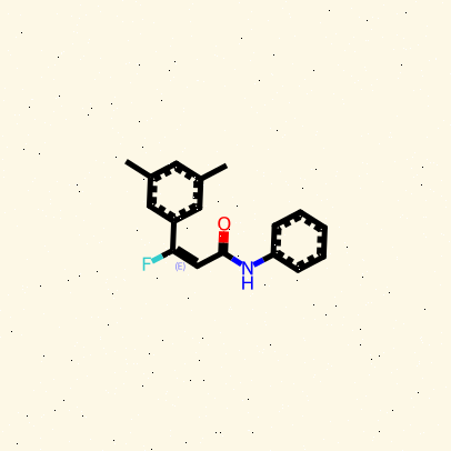 Cc1cc(C)cc(/C(F)=C\C(=O)Nc2ccccc2)c1